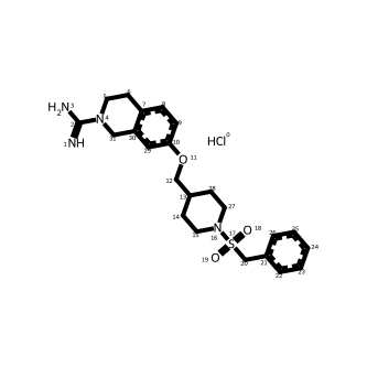 Cl.N=C(N)N1CCc2ccc(OCC3CCN(S(=O)(=O)Cc4ccccc4)CC3)cc2C1